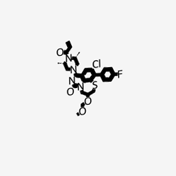 C=CC(=O)N1[C@H](C)CN(c2nc(=O)n3c4c(c(-c5ccc(F)cc5)c(Cl)cc24)SCC(OCOC)C3)C[C@@H]1C